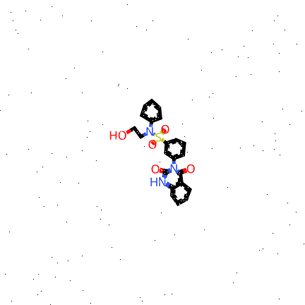 O=c1[nH]c2ccccc2c(=O)n1-c1cccc(S(=O)(=O)N(CCO)c2ccccc2)c1